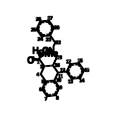 COC(=O)C1Cc2ccccc2C(c2ccccc2)C1CN(C)Cc1ccccc1